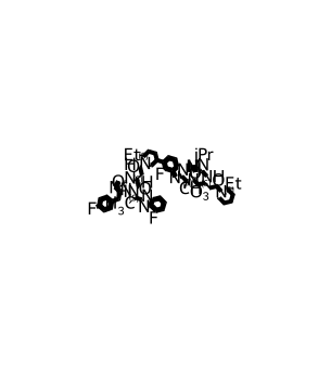 CC[C@H]1CCCCN1C(=O)C[C@H](Nc1nc(C(C)C)no1)C(=O)N[C@@H](C)c1nc2c(F)c(C3CC[C@H](CC)N(C(=O)C[C@H](Nc4nc(Cc5ccc(F)cc5)no4)C(=O)N[C@@H](C)c4nc5c(F)cccc5[nH]4)C3)ccc2[nH]1